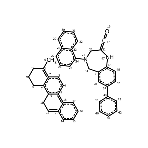 CC1=c2ccc3c(c2CCC1)CC=c1ccccc1=3.O=C=C1CN(c2cccc3ccccc23)Cc2cc(-c3ccccc3)ccc2N1